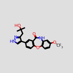 CC(C)(O)Cc1n[nH]cc1-c1ccc2c(c1)C(=O)Nc1cc(OC(F)(F)F)ccc1O2